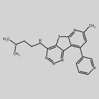 Cc1cc(-c2cccnc2)c2c(n1)sc1c(NCCN(C)C)nnnc12